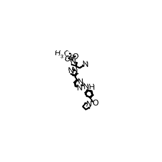 CCS(=O)(=O)N1CC(CC#N)(n2cc(-c3ccnc(Nc4ccc(C(=O)N5CCCC5)cc4)n3)cn2)C1